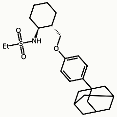 CCS(=O)(=O)N[C@H]1CCCC[C@@H]1COc1ccc(C23CC4CC(CC(C4)C2)C3)cc1